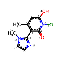 Cc1cc(O)n(Cl)c(=O)c1-c1nccn1C